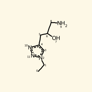 CCn1cc(CC(O)CN)nn1